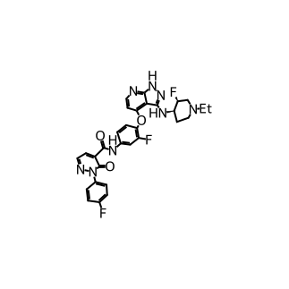 CCN1CC[C@@H](Nc2n[nH]c3nccc(Oc4ccc(NC(=O)c5ccnn(-c6ccc(F)cc6)c5=O)cc4F)c23)[C@@H](F)C1